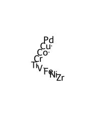 [Co].[Cr].[Cu].[Fe].[Ni].[Pd].[Ti].[V].[Zr]